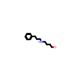 [O]CCCCNCCCc1ccccc1